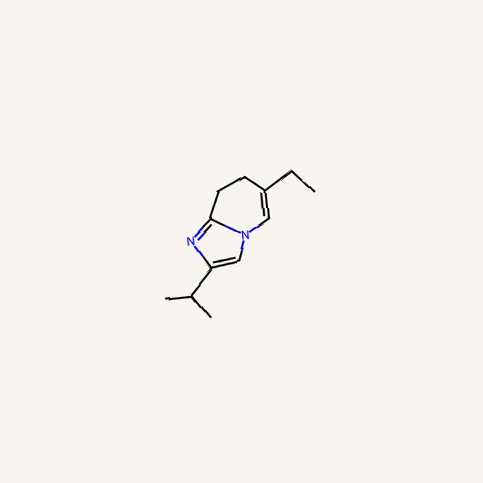 CCC1=Cn2cc(C(C)C)nc2CC1